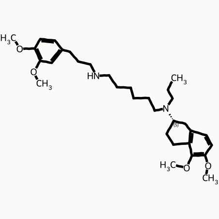 CCCN(CCCCCCNCCCc1ccc(OC)c(OC)c1)[C@H]1CCc2c(ccc(OC)c2OC)C1